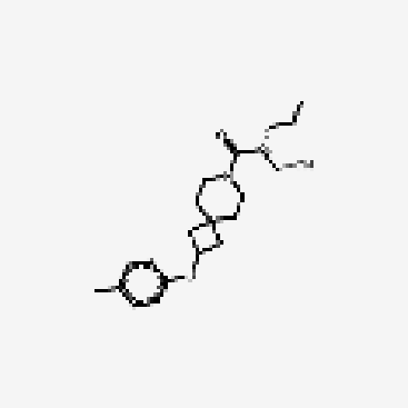 CCC[C@H](CO)C(=O)N1CCC2(CC1)CC(Oc1ccc(C)cc1)C2